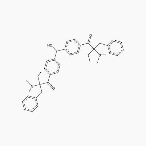 CCC(Cc1ccccc1)(C(=O)c1ccc(C(O)c2ccc(C(=O)C(CC)(Cc3ccccc3)N(C)C)cc2)cc1)N(C)C